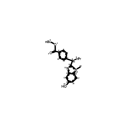 CCCCOC(=O)c1ccc([C@@H](CCC)c2nc3cc(O)ccc3n2C)cc1